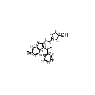 CC(C1=C(CCN2CCC(O)C2)Cc2cc(F)ccc21)c1cnccn1